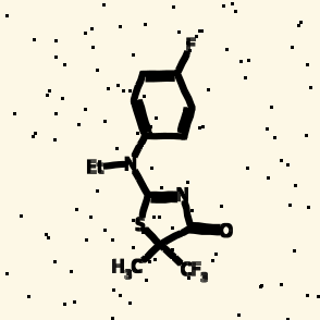 CCN(C1=NC(=O)C(C)(C(F)(F)F)S1)c1ccc(F)cc1